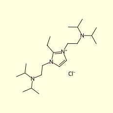 CCc1n(CCN(C(C)C)C(C)C)cc[n+]1CCN(C(C)C)C(C)C.[Cl-]